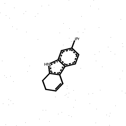 CC(C)c1ccc2c3c([nH]c2c1)CCC=C3